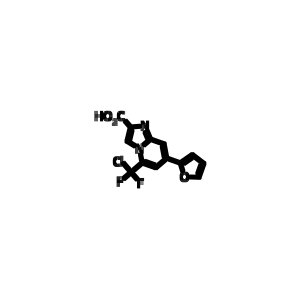 O=C(O)c1cn2c(C(F)(F)Cl)cc(-c3ccco3)cc2n1